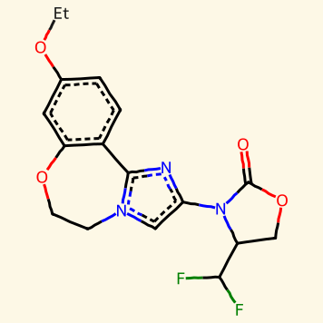 CCOc1ccc2c(c1)OCCn1cc(N3C(=O)OCC3C(F)F)nc1-2